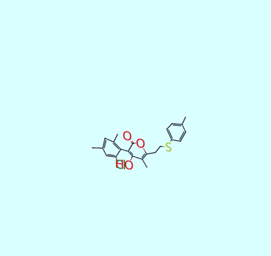 Cc1ccc(SCCc2oc(=O)c(-c3c(C)cc(C)cc3Cl)c(O)c2C)cc1